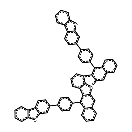 c1ccc2c(-c3ccc(-c4ccc5c(c4)sc4ccccc45)cc3)c3c4cccc5c6c(-c7ccc(-c8ccc9c(c8)sc8ccccc89)cc7)c7ccccc7cc6n(c3cc2c1)c45